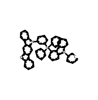 c1ccc(-n2c3ccccc3c3c([Si](c4ccccc4)(c4ccccc4)c4cccc(-n5c6ccccc6c6cc7sc8ccccc8c7cc65)c4)cccc32)cc1